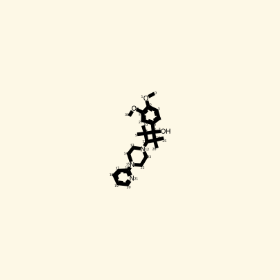 COc1ccc(C2(O)C(C)(C)C(N3CCN(c4ccccn4)CC3)C2(C)C)cc1OC